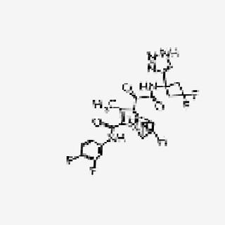 Cc1c(C(=O)C(=O)NC2(c3c[nH]nn3)CC(F)(F)C2)c2n(c1C(=O)Nc1ccc(F)c(F)c1)C1[C@H]3C2[C@H]13